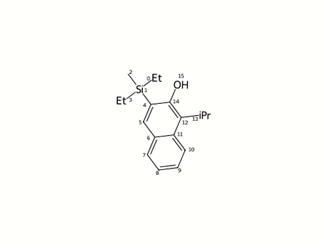 CC[Si](C)(CC)c1cc2ccccc2c(C(C)C)c1O